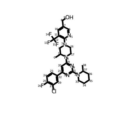 CC1CN(c2ncc(CO)cc2C(F)(F)F)CCN1c1cc(-c2ccc(F)c(Cl)c2)nc(N2CCCCC2C)n1